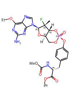 CCOc1nc(N)nc2c1ncn2[C@@H]1O[C@@H]2CO[P@](=O)(Oc3ccc(C[C@@H](NC(=O)OC)C(=O)OC(C)C)cc3)O[C@H]2[C@@]1(C)F